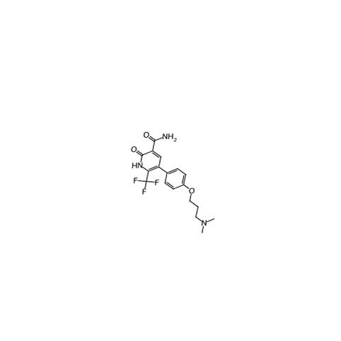 CN(C)CCCOc1ccc(-c2cc(C(N)=O)c(=O)[nH]c2C(F)(F)F)cc1